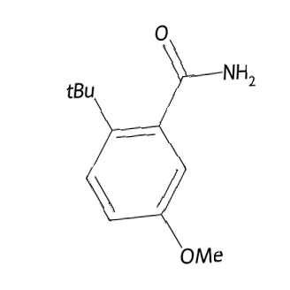 COc1ccc(C(C)(C)C)c(C(N)=O)c1